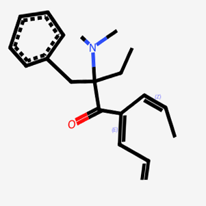 C=C/C=C(\C=C/C)C(=O)C(CC)(Cc1ccccc1)N(C)C